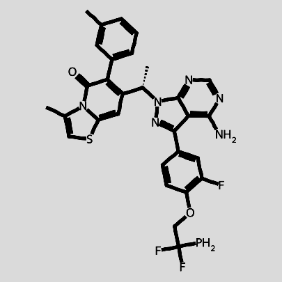 Cc1cccc(-c2c([C@H](C)n3nc(-c4ccc(OCC(F)(F)P)c(F)c4)c4c(N)ncnc43)cc3scc(C)n3c2=O)c1